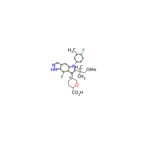 COCC(C)(C)c1c([C@@H]2CCC(C(=O)O)OC2)c2c(F)c3[nH]ncc3cc2n1-c1ccc(F)c(C)c1